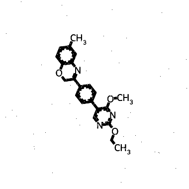 CCOc1ncc(-c2ccc(C3=Nc4cc(C)ccc4OC3)cc2)c(OC)n1